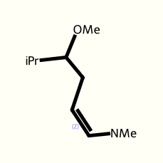 CN/C=C\CC(OC)C(C)C